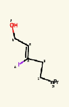 CCCCCC(I)=CCO